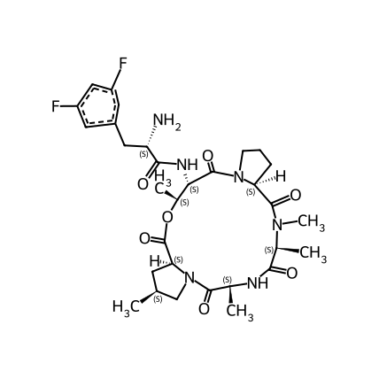 C[C@H]1C[C@H]2C(=O)O[C@@H](C)[C@H](NC(=O)[C@@H](N)Cc3cc(F)cc(F)c3)C(=O)N3CCC[C@H]3C(=O)N(C)[C@@H](C)C(=O)N[C@@H](C)C(=O)N2C1